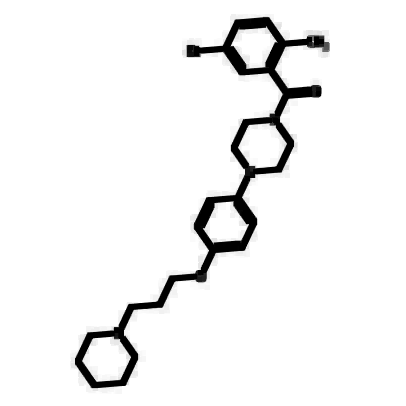 CCc1ccc(C)c(C(=O)N2CCN(c3ccc(OCCCN4CCCCC4)cc3)CC2)c1